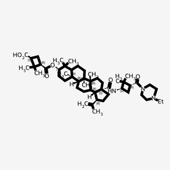 C=C(C)[C@@H]1CC[C@]2(C(=O)N[C@H]3C[C@@H](C(=O)N4CCN(CC)CC4)C3(C)C)CC[C@]3(C)C(CC[C@@H]4[C@@]5(C)CC[C@H](OC(=O)[C@@H]6C[C@H](C(=O)O)C6(C)C)C(C)(C)C5CC[C@]43C)[C@@H]12